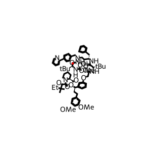 CCC(C)(C)C(=O)C(=O)N1CCCC[C@H]1C(=O)O[C@H](CCc1ccc(OC)c(OC)c1)c1cccc(OCC(=O)N[C@H](C(=O)N[C@@H](Cc2ccccc2)[C@@H](O)CN(Cc2ccc(-c3ccccn3)cc2)NC(=O)[C@@H](NC(=O)OC)C(C)(C)C)C(C)(C)C)c1